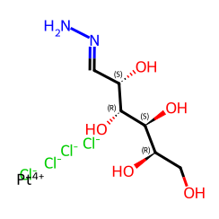 NN=C[C@H](O)[C@@H](O)[C@@H](O)[C@H](O)CO.[Cl-].[Cl-].[Cl-].[Cl-].[Pt+4]